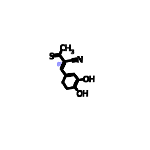 CC(=S)/C(C#N)=C/C1=CC(O)=C(O)CC1